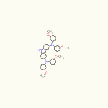 COc1cccc(N(c2cccc(OC)c2)c2ccc3[nH]c4ccc(N(c5cccc(OC)c5)c5cccc(OC)c5)cc4c3c2)c1